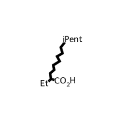 CCCC(C)CCCCCCCCC(CC)C(=O)O